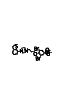 O=[N+]([O-])c1cc(Br)c(OCCCN2CCN(c3cccc4ccsc34)CC2)c(Br)c1